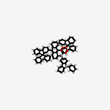 C1=CC2c3ccccc3C3(c4ccccc4-c4ccc(-c5c6ccccc6c(-c6ccc7c(c6)C6(c8ccccc8-c8ccccc86)c6ccccc6-7)c6cccc(N(c7ccccc7)c7ccc8c(c7)c7ccccc7n8-c7ccccc7)c56)cc43)C2C=C1